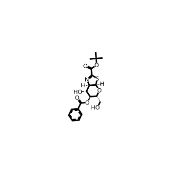 CC(C)(C)OC(=O)C1=N[C@@H]2[C@@H](O)[C@H](OC(=O)c3ccccc3)[C@@H](CO)O[C@@H]2S1